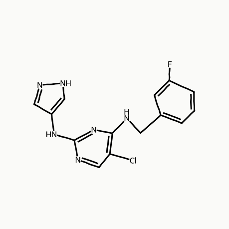 Fc1cccc(CNc2nc(Nc3cn[nH]c3)ncc2Cl)c1